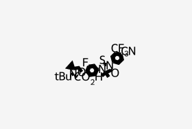 CC(C)(C)N(C(=O)O)C1(COc2ccc(N3C(=S)N(c4ccc(C#N)c(C(F)(F)F)c4)C(=O)C3(C)C)cc2F)CC1